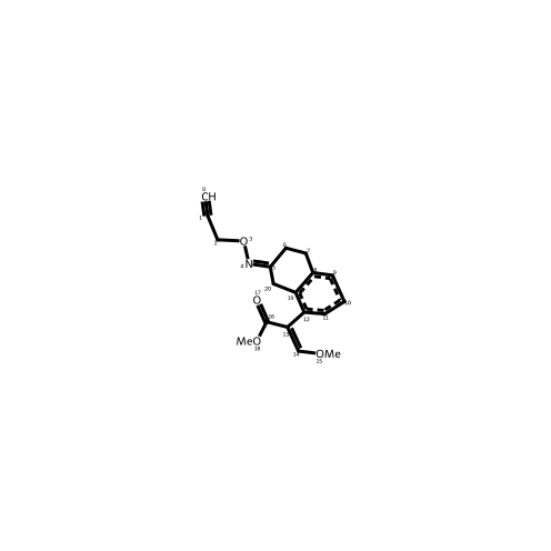 C#CCON=C1CCc2cccc(/C(=C\OC)C(=O)OC)c2C1